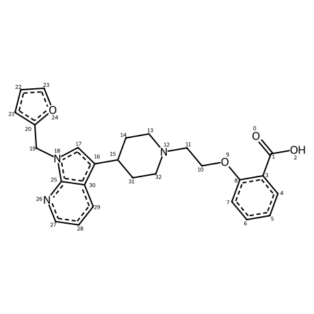 O=C(O)c1ccccc1OCCN1CCC(c2cn(Cc3ccco3)c3ncccc23)CC1